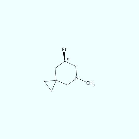 CC[C@H]1CN(C)CC2(CC2)C1